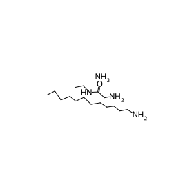 CCCCCCCCCCCCN.CCNC(=O)CN.N